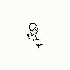 CC(C)(C)OC(=O)N1C[C@H]2CCCC[C@H]2[C@@H]1C=O